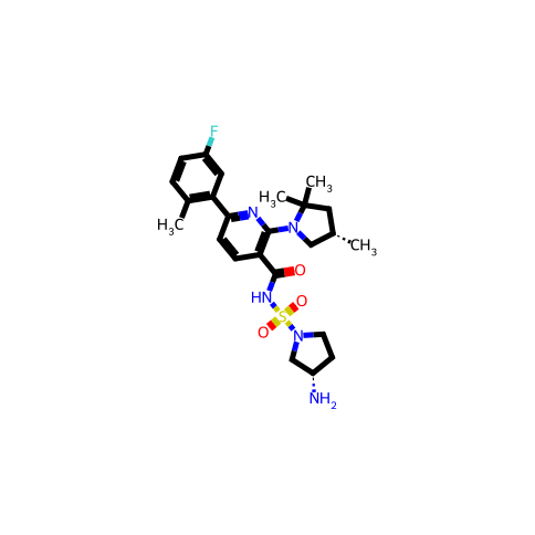 Cc1ccc(F)cc1-c1ccc(C(=O)NS(=O)(=O)N2CC[C@H](N)C2)c(N2C[C@@H](C)CC2(C)C)n1